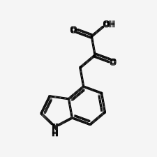 O=C(O)C(=O)Cc1cccc2[nH]ccc12